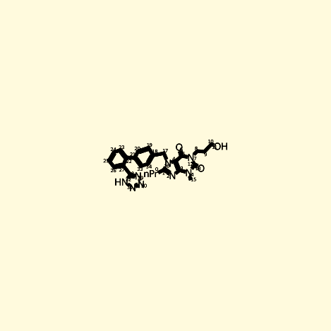 CCCc1nc2c(c(=O)n(CCCO)c(=O)n2C)n1Cc1ccc(-c2ccccc2-c2nnn[nH]2)cc1